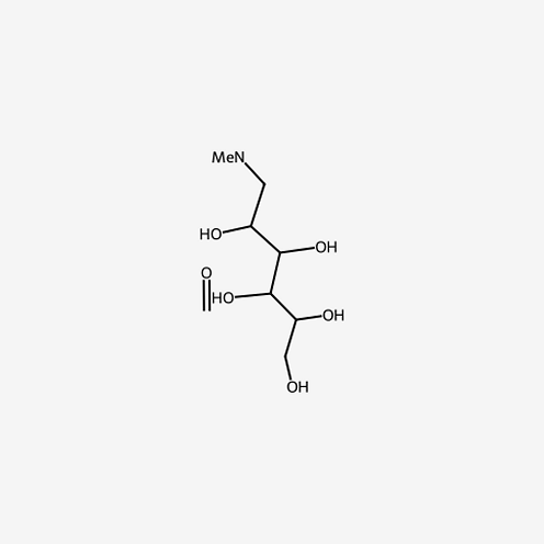 C=O.CNCC(O)C(O)C(O)C(O)CO